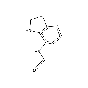 O=CNc1cccc2c1NCC2